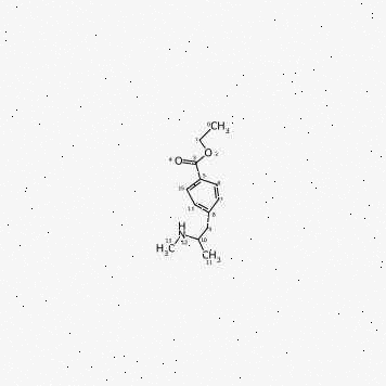 CCOC(=O)c1ccc(CC(C)NC)cc1